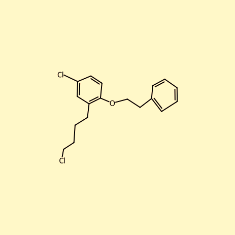 ClCCCCc1cc(Cl)ccc1OCCc1ccccc1